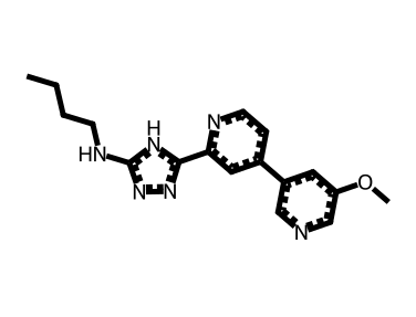 CCCCNc1nnc(-c2cc(-c3cncc(OC)c3)ccn2)[nH]1